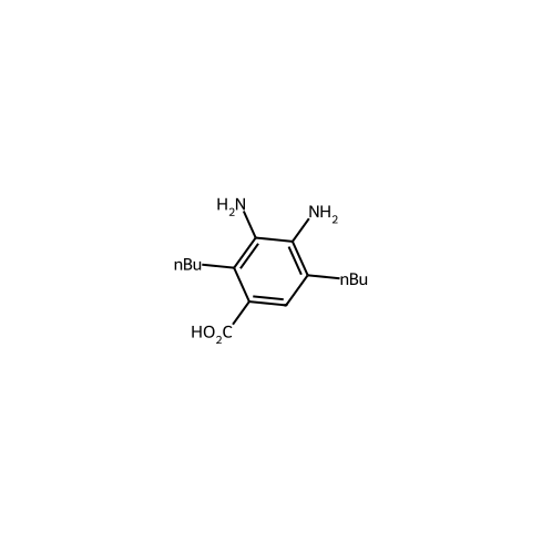 CCCCc1cc(C(=O)O)c(CCCC)c(N)c1N